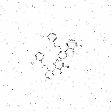 CCNC(=O)C(=NOC)c1ccccc1COc1cccc(C)c1.CCNC(=O)C(=NOC)c1ccccc1COc1ccccc1C